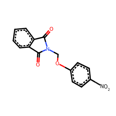 O=C1c2ccccc2C(=O)N1COc1ccc([N+](=O)[O-])cc1